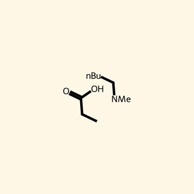 CCC(=O)O.CCCCCNC